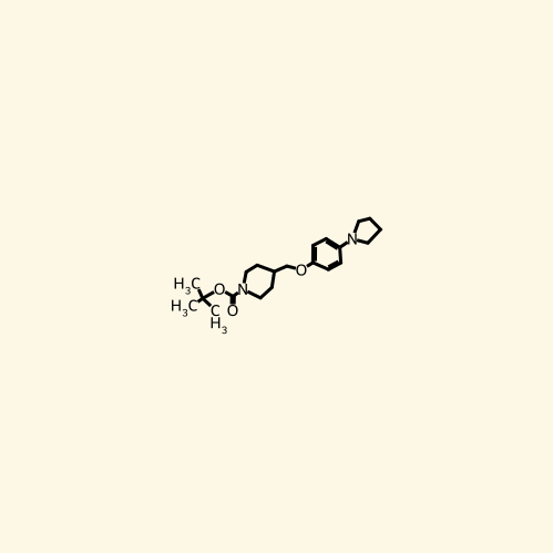 CC(C)(C)OC(=O)N1CCC(COc2ccc(N3CCCC3)cc2)CC1